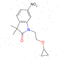 CC1(C)C(=O)N(CCOC2CC2)c2cc([N+](=O)[O-])ccc21